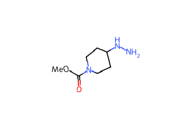 COC(=O)N1CCC(NN)CC1